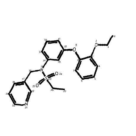 CCOc1ccccc1Oc1cccc(N(Cc2cccnc2)S(=O)(=O)CC)c1